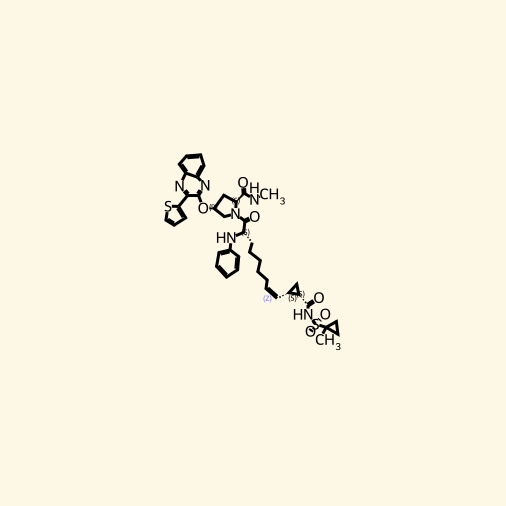 CNC(=O)[C@@H]1C[C@@H](Oc2nc3ccccc3nc2-c2cccs2)CN1C(=O)[C@H](CCCCC/C=C\[C@@H]1C[C@@H]1C(=O)NS(=O)(=O)C1(C)CC1)Nc1ccccc1